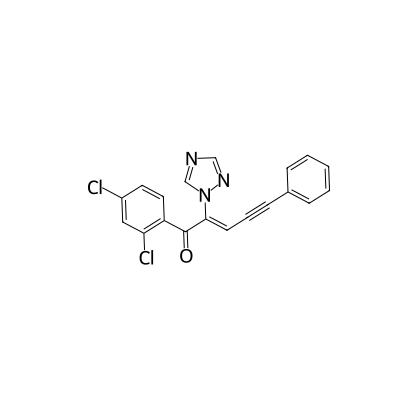 O=C(C(=CC#Cc1ccccc1)n1cncn1)c1ccc(Cl)cc1Cl